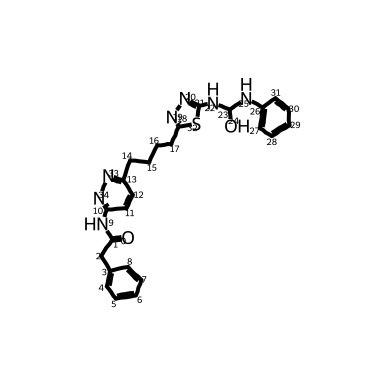 O=C(Cc1ccccc1)Nc1ccc(CCCCc2nnc(NC(O)Nc3ccccc3)s2)nn1